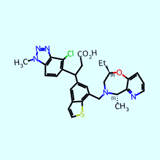 CC[C@@H]1CN(Cc2cc(C(CC(=O)O)c3ccc4c(nnn4C)c3Cl)cc3ccsc23)[C@@H](C)c2ncccc2O1